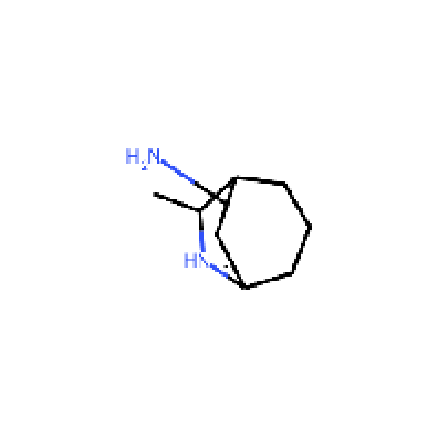 CC1NC2=CCC(N)=C1CCC2